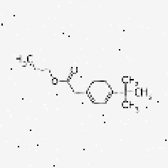 CCCOC(=O)Cc1ccc(C(C)(C)C)cc1